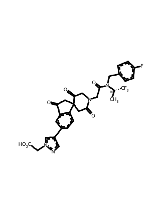 C[C@H](N(Cc1ccc(F)cc1)C(=O)CN1CC(=O)C2(CC(=O)c3cc(-c4cnn(CC(=O)O)c4)ccc32)CC1=O)C(F)(F)F